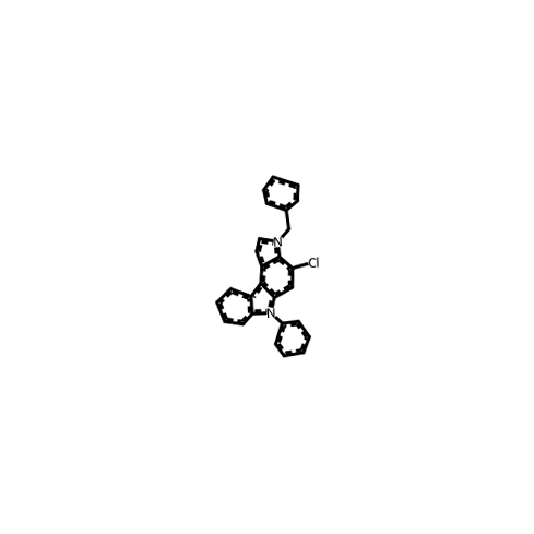 Clc1cc2c(c3ccn(Cc4ccccc4)c13)c1ccccc1n2-c1ccccc1